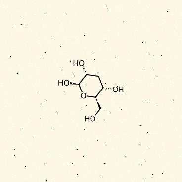 OC[C@H]1O[C@@H](O)[C@H](O)C[C@@H]1O